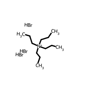 Br.Br.Br.CCC[N+](CCC)(CCC)CCC